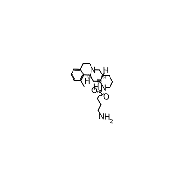 Cc1cccc2c1[C@@H]1C[C@@H]3[C@@H](CCCN3S(=O)(=O)CCCN)CN1CC2